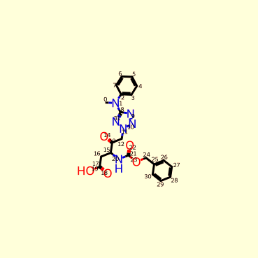 CN(c1ccccc1)c1nnn(CC(=O)C(CC(=O)O)NC(=O)OCc2ccccc2)n1